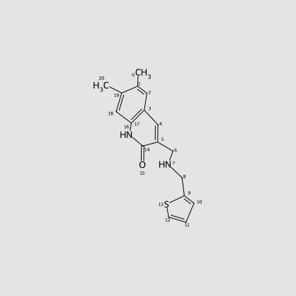 Cc1cc2cc(CNCc3cccs3)c(=O)[nH]c2cc1C